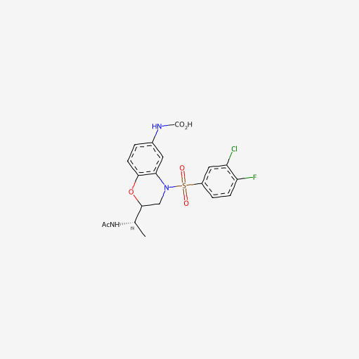 CC(=O)N[C@@H](C)C1CN(S(=O)(=O)c2ccc(F)c(Cl)c2)c2cc(NC(=O)O)ccc2O1